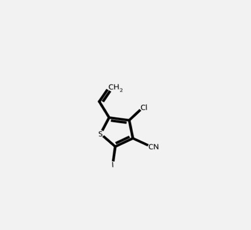 C=Cc1sc(I)c(C#N)c1Cl